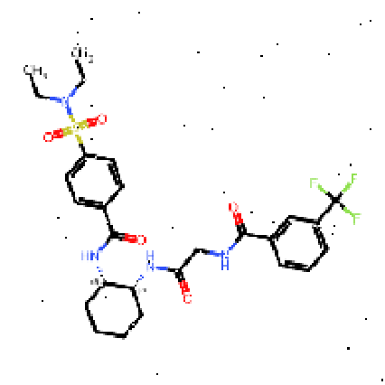 CCN(CC)S(=O)(=O)c1ccc(C(=O)N[C@H]2CCCC[C@H]2NC(=O)CNC(=O)c2cccc(C(F)(F)F)c2)cc1